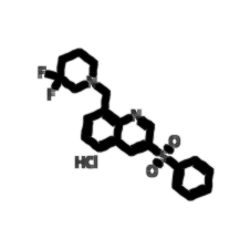 Cl.O=S(=O)(c1ccccc1)c1cnc2c(CN3CCCC(F)(F)C3)cccc2c1